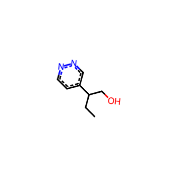 CCC(CO)c1ccnnc1